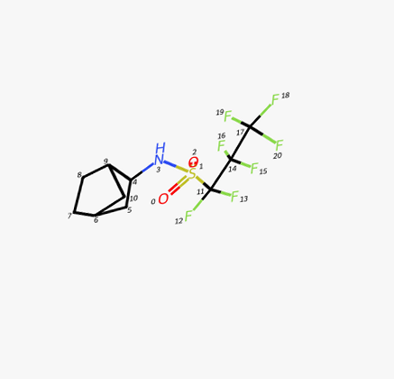 O=S(=O)(NC1CC2CCC1C2)C(F)(F)C(F)(F)C(F)(F)F